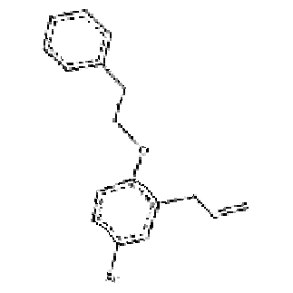 C=CCc1cc(C(C)=O)ccc1OCCc1ccccc1